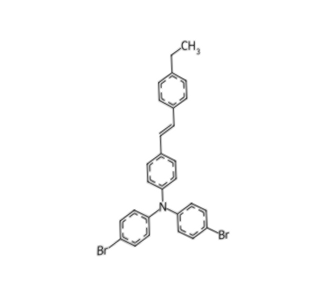 CCc1ccc(C=Cc2ccc(N(c3ccc(Br)cc3)c3ccc(Br)cc3)cc2)cc1